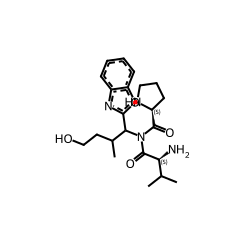 CC(CCO)C(c1nc2ccccc2o1)N(C(=O)[C@@H]1CCCN1)C(=O)[C@@H](N)C(C)C